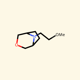 COCCN1C2CCC1COC2